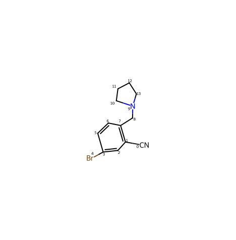 N#Cc1cc(Br)ccc1CN1CCCC1